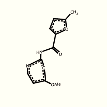 COc1ccnc(NC(=O)c2ccc(C)o2)c1